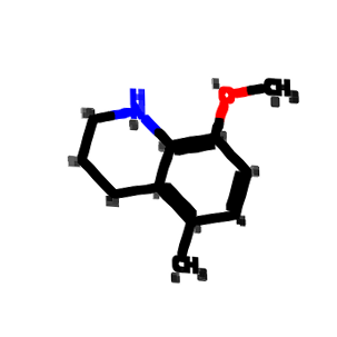 COc1ccc(C)c2c1NCCC2